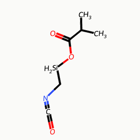 CC(C)C(=O)O[SiH2]CN=C=O